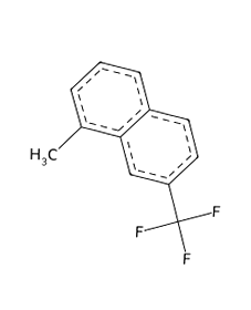 Cc1cccc2ccc(C(F)(F)F)cc12